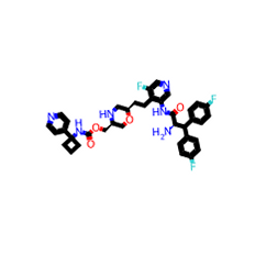 N[C@H](C(=O)Nc1cncc(F)c1CC[C@@H]1CN[C@H](COC(=O)NC2(c3ccncc3)CCC2)CO1)C(c1ccc(F)cc1)c1ccc(F)cc1